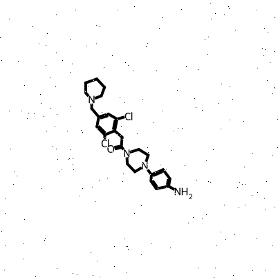 Nc1ccc(N2CCN(C(=O)Cc3c(Cl)cc(CN4CCCCC4)cc3Cl)CC2)cc1